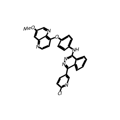 COc1cnc2c(Oc3ccc(Nc4nnc(-c5ccc(Cl)nc5)c5ccccc45)cc3)ccnc2c1